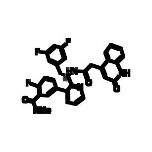 CNC(=O)c1cc(-c2cccnc2[C@H](Cc2cc(F)cc(F)c2)NC(=O)Cc2cc(=O)[nH]c3ccccc23)ccc1F